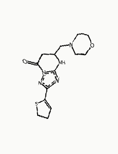 O=C1CC(CN2CCOCC2)Nc2nc(C3=CCCS3)nn21